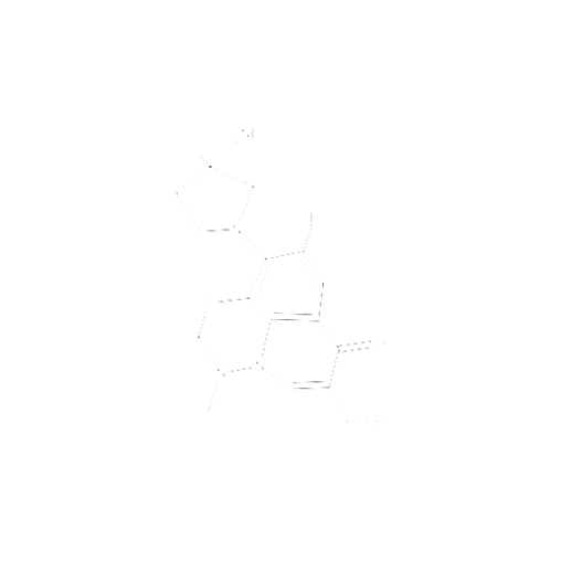 CN1COc2c(N3CCC(C)(N)C3)c(F)cc3c(=O)c(C(=O)O)cn1c23